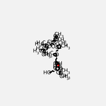 C=C1C[C@H](CCC23C[C@H]4O[C@H]5[C@@H](O2)[C@@H](O[Si](CC)(CC)CC)[C@H](CCCO)O[C@H]5[C@H]4O3)O[C@H]1CC[C@H]1C[C@@H](C)C(=C)[C@@H](C[C@@H]2O[C@H](C[C@@H](CO[Si](CC)(CC)CC)O[Si](CC)(CC)CC)[C@H](OC)[C@H]2CC(=O)CP(=O)(OC)OC)O1